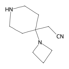 N#CCC1(N2CCC2)CCNCC1